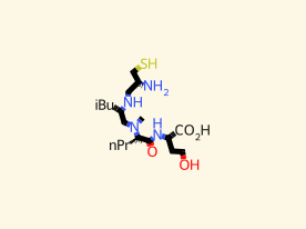 CCC[C@H](C(=O)NC(CCO)C(=O)O)N(C)CC(NC[C@H](N)CS)C(C)CC